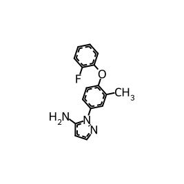 Cc1cc(-n2nccc2N)ccc1Oc1ccccc1F